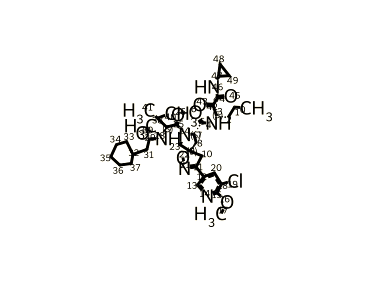 CCC[C@H](NC(=O)[C@@H]1C[C@]2(CC(c3cnc(OC)c(Cl)c3)=NO2)CN1C(=O)[C@@H](NC(=O)CC1CCCCC1)C(C)(C)C)C(=O)C(=O)NC1CC1